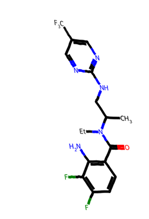 CCN(C(=O)c1ccc(F)c(F)c1N)C(C)CNc1ncc(C(F)(F)F)cn1